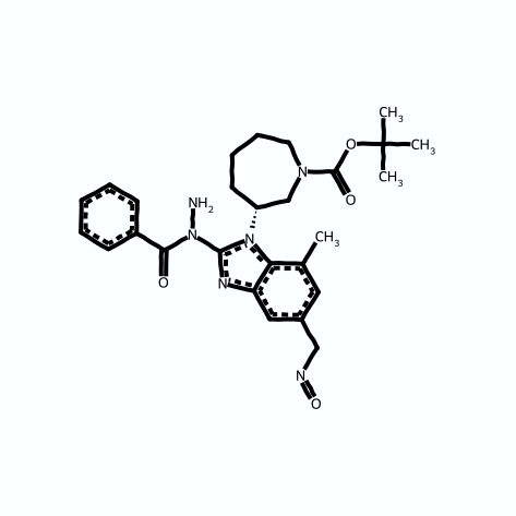 Cc1cc(CN=O)cc2nc(N(N)C(=O)c3ccccc3)n([C@@H]3CCCCN(C(=O)OC(C)(C)C)C3)c12